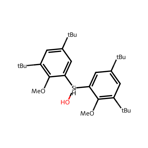 COc1c([SiH](O)c2cc(C(C)(C)C)cc(C(C)(C)C)c2OC)cc(C(C)(C)C)cc1C(C)(C)C